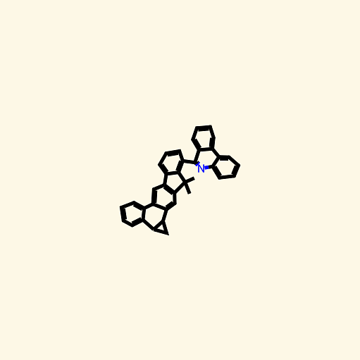 CC1(C)c2cc3c(cc2-c2cccc(-c4nc5ccccc5c5ccccc45)c21)-c1ccccc1C1CC31